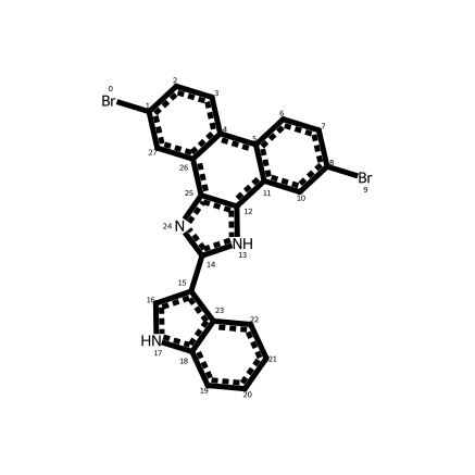 Brc1ccc2c3ccc(Br)cc3c3[nH]c(-c4c[nH]c5ccccc45)nc3c2c1